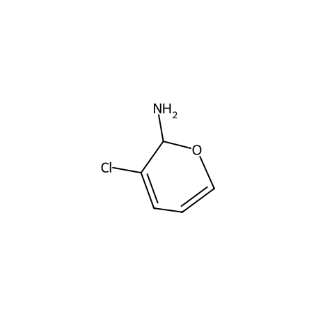 NC1OC=CC=C1Cl